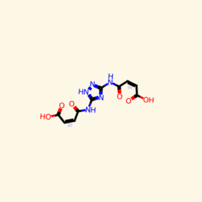 O=C(O)/C=C\C(=O)Nc1n[nH]c(NC(=O)/C=C\C(=O)O)n1